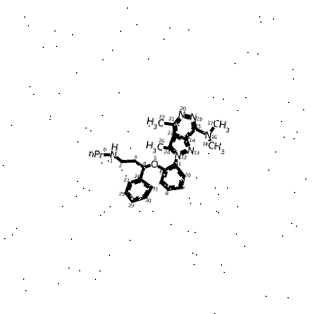 CCCNCCC(Oc1ccccc1-n1nc2c(N(C)C)nnc(C)c2c1C)c1ccccc1